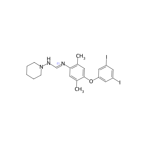 Cc1cc(Oc2cc(I)cc(I)c2)c(C)cc1/N=C/NN1CCCCC1